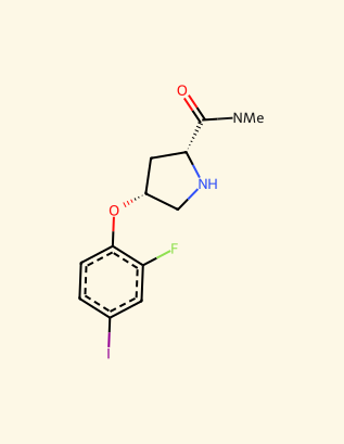 CNC(=O)[C@H]1C[C@@H](Oc2ccc(I)cc2F)CN1